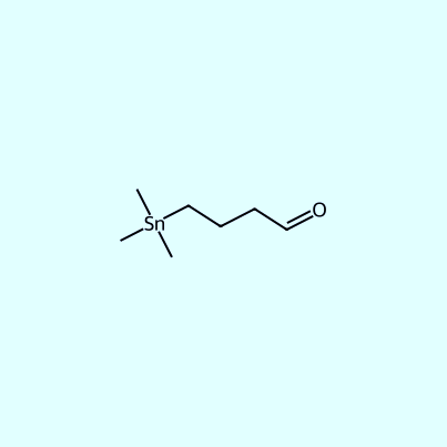 [CH3][Sn]([CH3])([CH3])[CH2]CCC=O